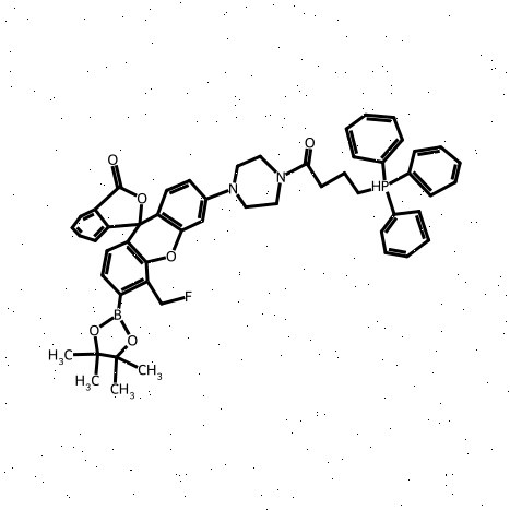 CC1(C)OB(c2ccc3c(c2CF)Oc2cc(N4CCN(C(=O)CCC[PH](c5ccccc5)(c5ccccc5)c5ccccc5)CC4)ccc2C32OC(=O)c3ccccc32)OC1(C)C